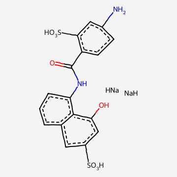 Nc1ccc(C(=O)Nc2cccc3cc(S(=O)(=O)O)cc(O)c23)c(S(=O)(=O)O)c1.[NaH].[NaH]